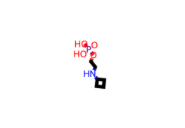 O=P(O)(O)OCCNC1CCC1